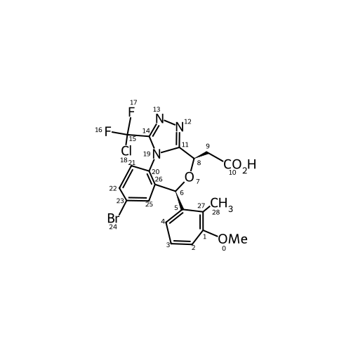 COc1cccc([C@@H]2O[C@H](CC(=O)O)c3nnc(C(F)(F)Cl)n3-c3ccc(Br)cc32)c1C